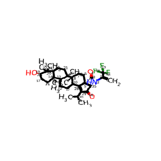 C=C(NC(=O)[C@@]12CC[C@]3(C)C(CCC4[C@@]5(C)CC[C@H](O)C(C)(C)C5CC[C@]43C)C1=C(C(C)C)C(=O)C2)C(F)(F)F